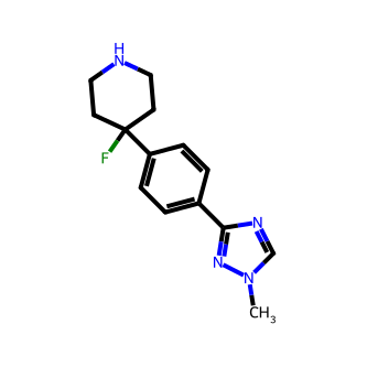 Cn1cnc(-c2ccc(C3(F)CCNCC3)cc2)n1